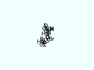 CCOC(=O)NC(=O)/C(C#N)=N\Nc1cc(Br)c(Sc2c[nH]c(=O)c(C(C)C)c2)c(Br)c1